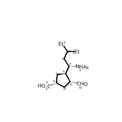 CCC(CC)C[C@H](NC(C)=O)[C@@H]1C[C@@H](C(=O)O)C[C@H]1C=O